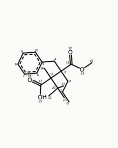 CCCC(Cc1ccccc1)(C(=O)OC)C(C)(C(=O)O)C(C)(C)C